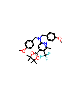 COc1ccc(CN(Cc2ccc(OC)cc2)c2cc(B3OC(C)(C)C(C)(C)O3)c(C(F)(F)F)c(C)n2)cc1